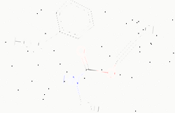 CC#COC(=O)NCCCC.O=C(O)c1ccccc1